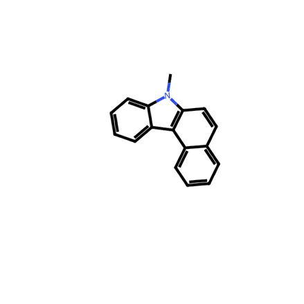 Cn1c2ccccc2c2c3ccccc3ccc21